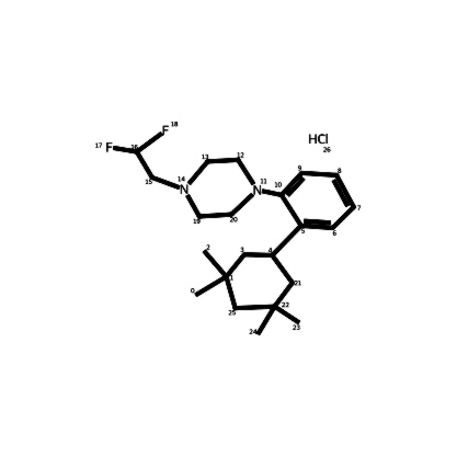 CC1(C)CC(c2ccccc2N2CCN(CC(F)F)CC2)CC(C)(C)C1.Cl